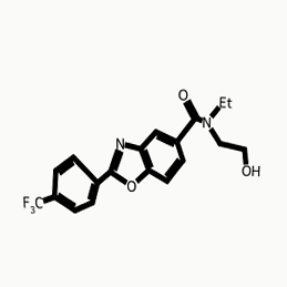 CCN(CCO)C(=O)c1ccc2oc(-c3ccc(C(F)(F)F)cc3)nc2c1